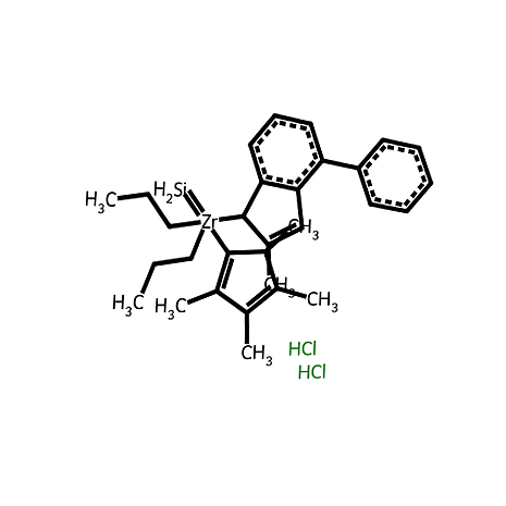 CC[CH2][Zr](=[SiH2])([CH2]CC)([C]1=C(C)C(C)=C(C)C1C)[CH]1C(C)=Cc2c(-c3ccccc3)cccc21.Cl.Cl